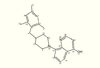 Cc1cc(C)c(CC2CCN(c3cccc4c(O)ccnc34)CC2)c(C)c1